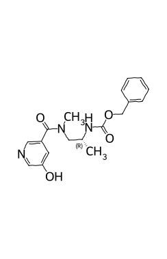 C[C@H](CN(C)C(=O)c1cncc(O)c1)NC(=O)OCc1ccccc1